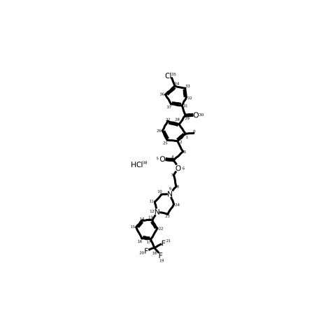 Cc1c(CC(=O)OCCN2CCN(c3cccc(C(F)(F)F)c3)CC2)cccc1C(=O)c1ccc(Cl)cc1.Cl